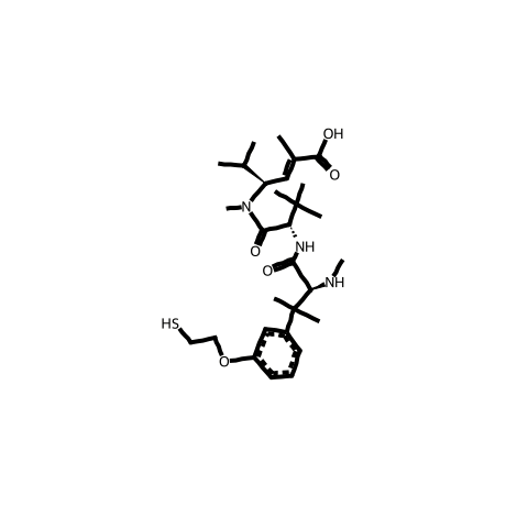 CN[C@H](C(=O)N[C@H](C(=O)N(C)[C@H](/C=C(\C)C(=O)O)C(C)C)C(C)(C)C)C(C)(C)c1cccc(OCCS)c1